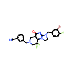 N#Cc1cccc(CN2Cc3c(n4c(nc3=O)N(Cc3ccc(F)c(Br)c3)CC4)C(F)(F)C2)c1